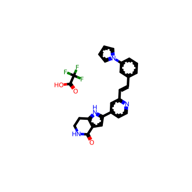 O=C(O)C(F)(F)F.O=C1NCCc2[nH]c(-c3ccnc(C=Cc4cccc(-n5cccc5)c4)c3)cc21